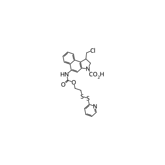 O=C(Nc1cc2c(c3ccccc13)C(CCl)CN2C(=O)O)OCCSSc1ccccn1